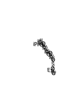 CCC1(COCCCCCCOc2ccc(C(=O)Oc3ccc(-c4ccc(C(=O)OC5CC(C)CCC5C(C)C)cc4)cc3)cc2)COC1